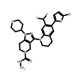 CNC(=O)N1CCc2c(c(N3CCCc4cc(-c5ccc(Cl)s5)c(C(F)F)cc43)nn2C2CCOCC2)C1